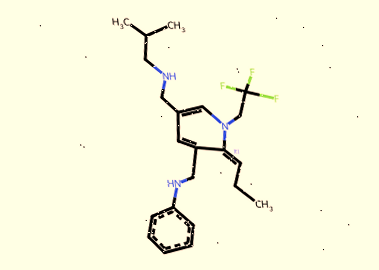 CC/C=C1\C(CNc2ccccc2)=CC(CNCC(C)C)=CN1CC(F)(F)F